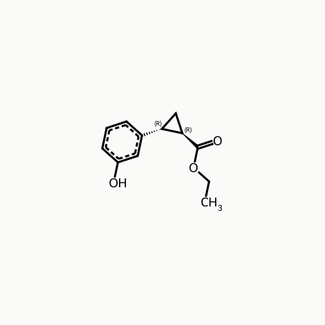 CCOC(=O)[C@@H]1C[C@H]1c1cccc(O)c1